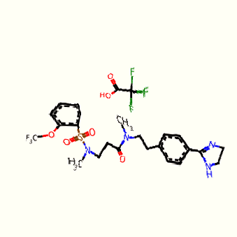 CN(CCc1ccc(C2=NCCN2)cc1)C(=O)CCN(C)S(=O)(=O)c1ccccc1OC(F)(F)F.O=C(O)C(F)(F)F